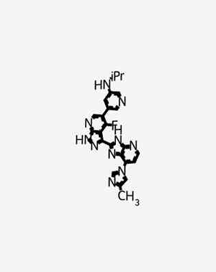 Cc1cn(-c2ccnc3[nH]c(-c4n[nH]c5ncc(-c6cncc(NC(C)C)c6)c(F)c45)nc23)cn1